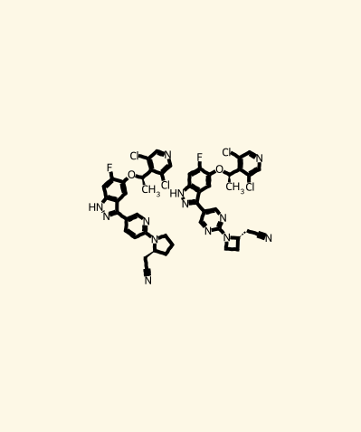 C[C@@H](Oc1cc2c(-c3ccc(N4CCC[C@H]4CC#N)nc3)n[nH]c2cc1F)c1c(Cl)cncc1Cl.C[C@@H](Oc1cc2c(-c3cnc(N4CC[C@H]4CC#N)nc3)n[nH]c2cc1F)c1c(Cl)cncc1Cl